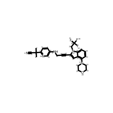 CC(C)(C#N)c1ccc(NCC#Cc2cc3c(N4CCOCC4)cccc3n2CC(F)(F)F)cn1